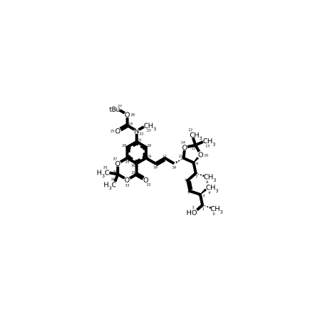 C[C@H](O)[C@H](C)/C=C\[C@@H](C)[C@@H]1OC(C)(C)O[C@H]1C/C=C/c1cc(N(C)C(=O)OC(C)(C)C)cc2c1C(=O)OC(C)(C)O2